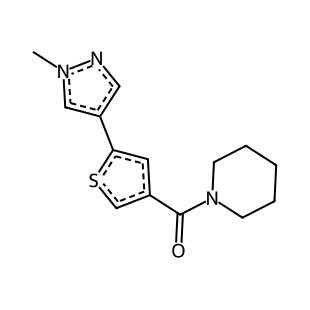 Cn1cc(-c2cc(C(=O)N3CCCCC3)cs2)cn1